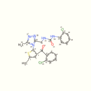 Cc1cc(C(=O)c2ccccc2Cl)c(-n2c(C)nnc2CNC(=O)Nc2ccccc2Cl)s1